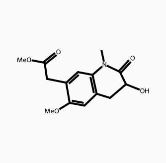 COC(=O)Cc1cc2c(cc1OC)CC(O)C(=O)N2C